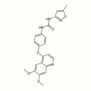 COc1cc2nccc(Oc3ccc(NC(=O)Nc4cc(C)on4)cc3)c2cc1OC